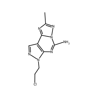 Cc1nc2c3cnn(CCCl)c3nc(N)n2n1